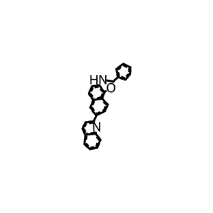 c1ccc(C2Nc3ccc4cc(-c5ccc6ccccc6n5)ccc4c3O2)cc1